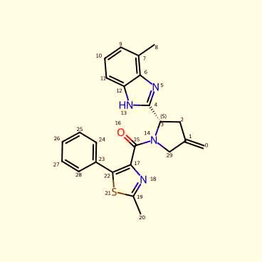 C=C1C[C@@H](c2nc3c(C)cccc3[nH]2)N(C(=O)c2nc(C)sc2-c2ccccc2)C1